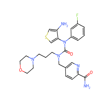 NC(=O)c1ccc(CN(CCCN2CCOCC2)C(=O)N(c2cccc(F)c2)c2cscc2N)cn1